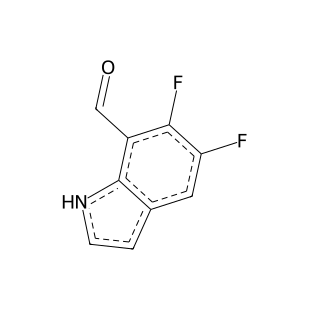 O=Cc1c(F)c(F)cc2cc[nH]c12